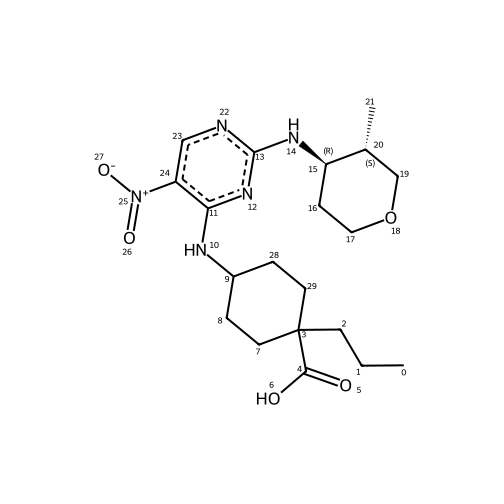 CCCC1(C(=O)O)CCC(Nc2nc(N[C@@H]3CCOC[C@H]3C)ncc2[N+](=O)[O-])CC1